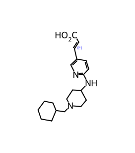 O=C(O)/C=C/c1ccc(NC2CCN(CC3CCCCC3)CC2)nc1